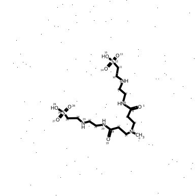 CN(CCC(=O)NCCNCCS(=O)(=O)O)CCC(=O)NCCNCCS(=O)(=O)O